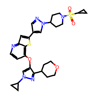 O=S(=O)(C1CC1)N1CCC(n2cc(-c3cc4nccc(Oc5cn(C6CC6)nc5C5CCOCC5)c4s3)cn2)CC1